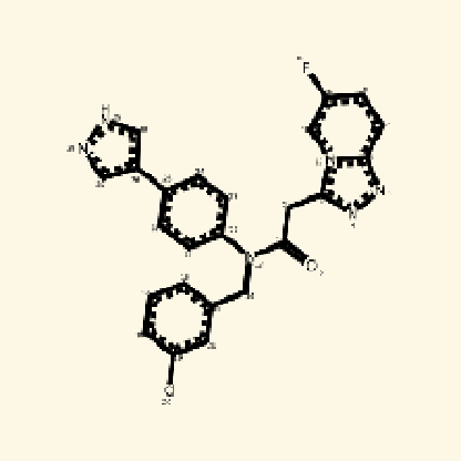 O=C(Cc1nnc2ccc(F)cn12)N(Cc1cccc(Cl)c1)c1ccc(-c2cn[nH]c2)cc1